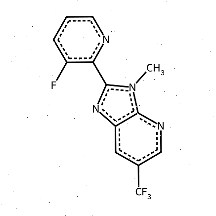 Cn1c(-c2ncccc2F)nc2cc(C(F)(F)F)cnc21